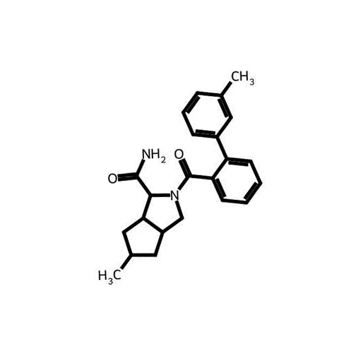 Cc1cccc(-c2ccccc2C(=O)N2CC3CC(C)CC3C2C(N)=O)c1